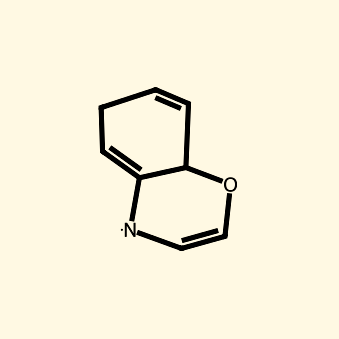 C1=CC2OC=C[N]C2=CC1